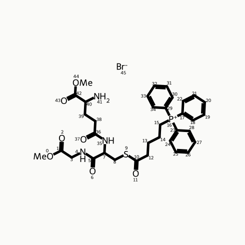 COC(=O)CNC(=O)C(CSC(=O)CCCC[P+](c1ccccc1)(c1ccccc1)c1ccccc1)NC(=O)CCC(N)C(=O)OC.[Br-]